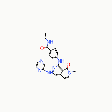 CCNC(=O)c1ccc(Nc2nc(Nc3cnccn3)cc3ccn(C)c(=O)c23)cc1